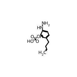 C=CCCc1ccc(NN)cc1.O=S(=O)(O)O